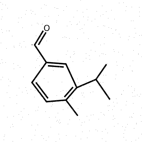 Cc1ccc([C]=O)cc1C(C)C